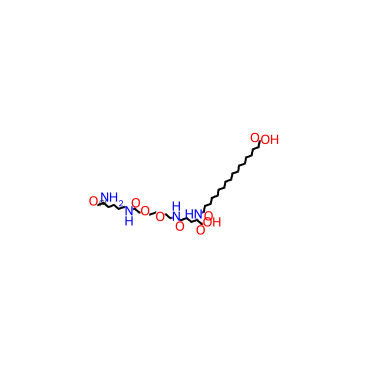 N[C@H](C=O)CCCCNC(=O)COCCOCCNC(=O)CCC(NC(=O)CCCCCCCCCCCCCCCCC(=O)O)C(=O)O